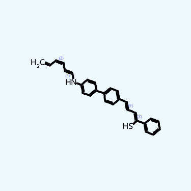 C=C/C=C\C=C\Nc1ccc(-c2ccc(/C=C/C=C(\S)c3ccccc3)cc2)cc1